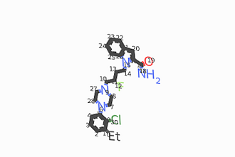 CCc1cccc(N2CCN(C[C@@H](F)CCn3c(C(N)=O)cc4ccccc43)CC2)c1Cl